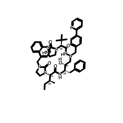 CC[C@H](C)[C@@H](C(=O)N[C@@H](Cc1ccccc1)[C@H](O)CN(Cc1ccc(-c2ccccn2)cc1)NC(=O)[C@@H](N1CCNC1=O)C(C)(C)C)N1CCN(Cc2ccnc3ccccc23)C1=O